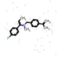 C=C(C)c1ccc(CN(C)/C(=C\C)c2ccc(F)cc2)cc1